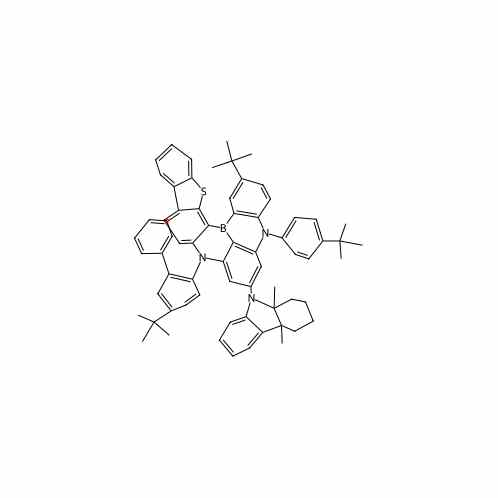 CC(C)(C)c1ccc(N2c3ccc(C(C)(C)C)cc3B3c4c2cc(N2c5ccccc5C5(C)CCCCC25C)cc4N(c2ccc(C(C)(C)C)cc2-c2ccccc2)c2ccc4c(sc5ccccc54)c23)cc1